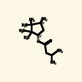 CC(C)CC(=O)O[C@H]1C[C@H](C)C(C)(C)C1(C)C